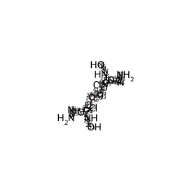 Cc1c(COc2cc(OCc3cncc(N)c3)c(CNCCCO)cc2Cl)cccc1-c1cccc(COc2cc(OCc3cncc(N)c3)c(CNCCCO)cc2Cl)c1C